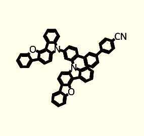 N#Cc1ccc(-c2cccc(-c3ccc(-n4c5ccccc5c5c6oc7ccccc7c6ccc54)cc3-n3c4ccccc4c4c5oc6ccccc6c5ccc43)c2)cc1